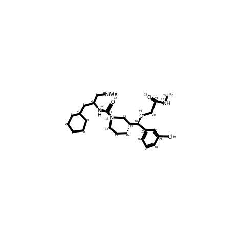 CNCC(CC1CCCCC1)NC(=O)N1CCC[C@@H]([C@@H](OCC(=O)NC(C)C)c2cccc(Cl)c2)C1